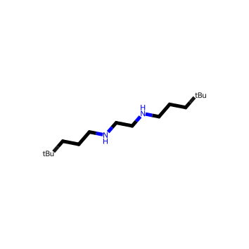 CC(C)(C)CCCNCCNCCCC(C)(C)C